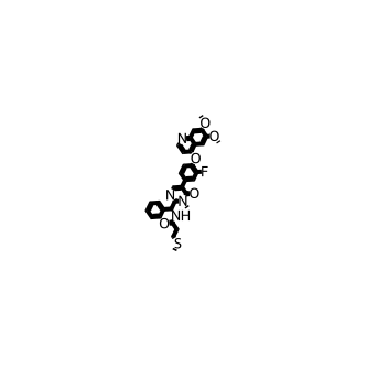 COc1cc2nccc(Oc3ccc(-c4cnc([C@@H](NC(=O)CCSC)c5ccccc5)n(C)c4=O)cc3F)c2cc1OC